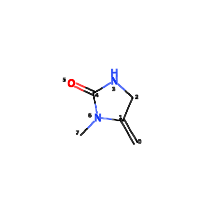 C=C1CNC(=O)N1C